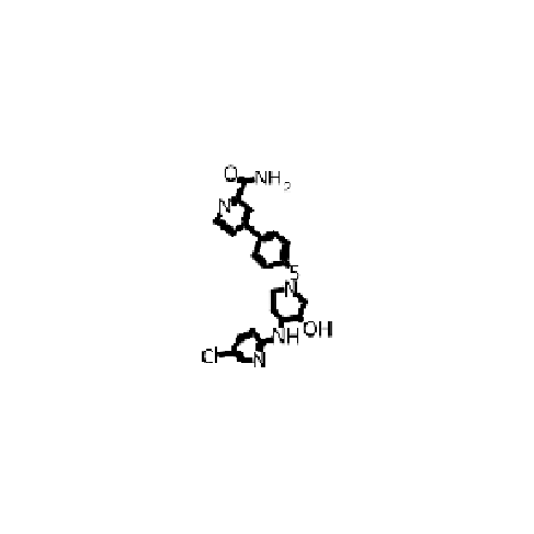 NC(=O)c1cc(-c2ccc(SN3CCC(Nc4ccc(Cl)cn4)C(O)C3)cc2)ccn1